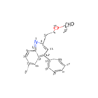 Cc1ccc2nc(CCOC=O)cc(-c3ccccc3)c2c1